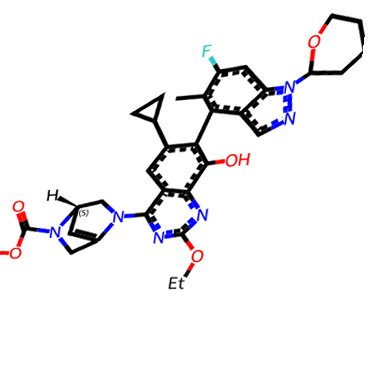 CCOc1nc(N2C[C@@H]3C=C2CN3C(=O)OC(C)(C)C)c2cc(C3CC3)c(-c3c(C)c(F)cc4c3cnn4C3CCCCO3)c(O)c2n1